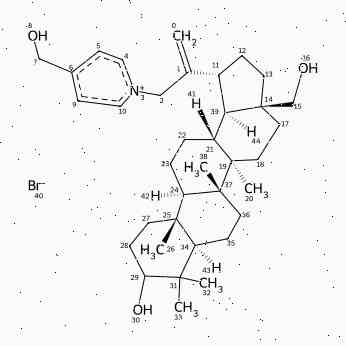 C=C(C[n+]1ccc(CO)cc1)[C@@H]1CC[C@]2(CO)CC[C@]3(C)[C@H](CC[C@@H]4[C@@]5(C)CCC(O)C(C)(C)[C@@H]5CC[C@]43C)[C@@H]12.[Br-]